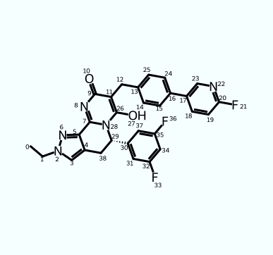 CCn1cc2c(n1)-c1nc(=O)c(Cc3ccc(-c4ccc(F)nc4)cc3)c(O)n1[C@H](c1cc(F)cc(F)c1)C2